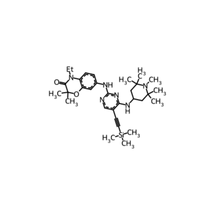 CCN1C(=O)C(C)(C)Oc2cc(Nc3ncc(C#C[Si](C)(C)C)c(NC4CC(C)(C)N(C)C(C)(C)C4)n3)ccc21